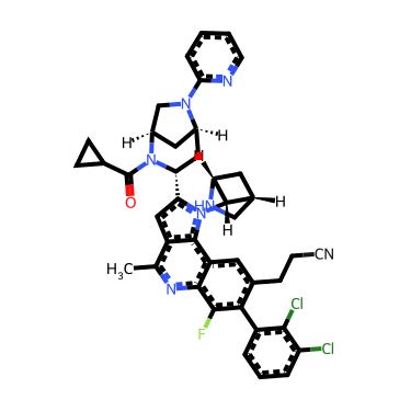 Cc1nc2c(F)c(-c3cccc(Cl)c3Cl)c(CCC#N)cc2c2c1cc([C@H]1C[C@H]3C[C@H](CN3c3ccccn3)N1C(=O)C1CC1)n2[C@H]1[C@H]2CN[C@@H]1C2